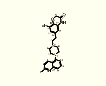 Cc1ccc2c(N3CCN(CCc4cc(F)c5c(c4)NC(=O)CO5)CC3)cccc2n1